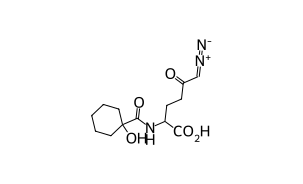 [N-]=[N+]=CC(=O)CCC(NC(=O)C1(O)CCCCC1)C(=O)O